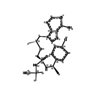 C[C@H](Cn1cnc2c(N)ncnc21)OC[P@@](=O)(N[C@H](C)c1ccc(Cl)cc1)NC(C)(C)C(=O)O